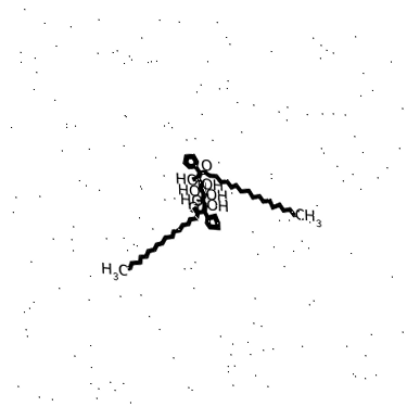 CCCCCCCCCCCCCCCCCCC(=O)C(=C(O)[C@@H](O)[C@@H](O)[C@H](O)[C@@H](O)C(O)=C(C(=O)CCCCCCCCCCCCCCCCCC)c1ccccc1)c1ccccc1